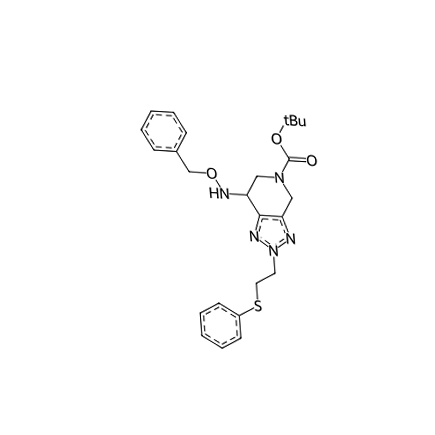 CC(C)(C)OC(=O)N1Cc2nn(CCSc3ccccc3)nc2C(NOCc2ccccc2)C1